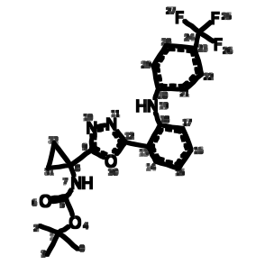 CC(C)(C)OC(=O)NC1(c2nnc(-c3ccccc3Nc3ccc(C(F)(F)F)cc3)o2)CC1